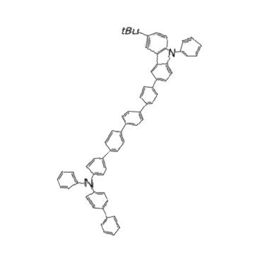 CC(C)(C)c1ccc2c(c1)c1cc(-c3ccc(-c4ccc(-c5ccc(-c6ccc(N(c7ccccc7)c7ccc(-c8ccccc8)cc7)cc6)cc5)cc4)cc3)ccc1n2-c1ccccc1